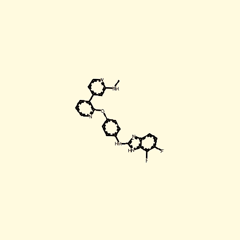 CNc1cc(-c2cccnc2Oc2ccc(Nc3nc4ccc(F)c(F)c4[nH]3)cc2)ccn1